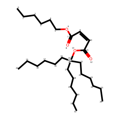 CCCCCCOC(=O)/C=C\C(=O)O[Si](CCCCCC)(CCCCCC)CCCCCC